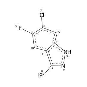 CC(C)c1n[nH]c2cc(Cl)c(F)cc12